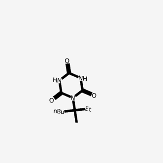 CCCCC(C)(CC)n1c(=O)[nH]c(=O)[nH]c1=O